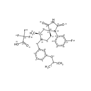 CC(C)Oc1cccc(CN2CC[C@@]3(C[C@@H]2C)C(=O)NC(=O)N3c2cccc(F)c2)c1.O=C(O)C(F)(F)F